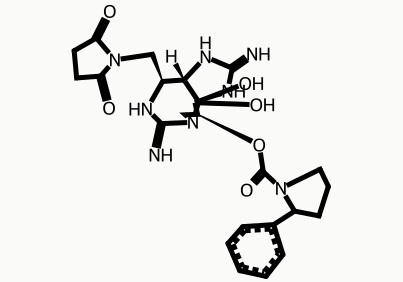 N=C1N[C@H]2[C@H](CN3C(=O)CCC3=O)NC(=N)N3C[C@H](OC(=O)N4CCCC4c4ccccc4)C(O)(O)[C@]23N1